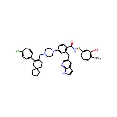 CNC1=C(O)C=C(SNC(=O)c2ccc(N3CCN(CC4=C(C5=CC=C(Cl)CC=C5)CC5(CCCC5)CC4)CC3)cc2Cc2cnc3[nH]ccc3c2)CC=C1